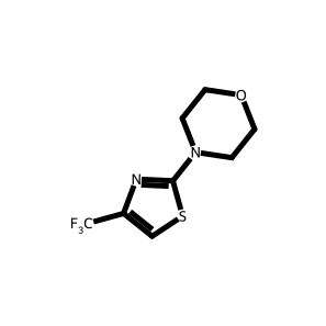 FC(F)(F)c1csc(N2CCOCC2)n1